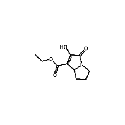 CCOC(=O)C1=C(O)C(=O)N2CCCC12